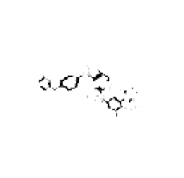 COc1c(C)cc(Nc2ncc(F)c(Nc3ccc(Cc4ccccc4)cc3)n2)cc1S(N)(=O)=O